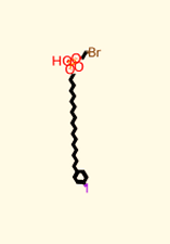 O=P(O)(OCCBr)OCCCCCCCCCCCCCCCCCCc1ccc(I)cc1